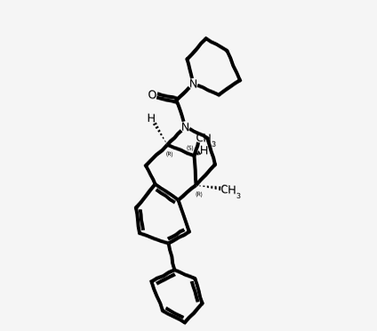 C[C@@H]1[C@H]2Cc3ccc(-c4ccccc4)cc3[C@]1(C)CCN2C(=O)N1CCCCC1